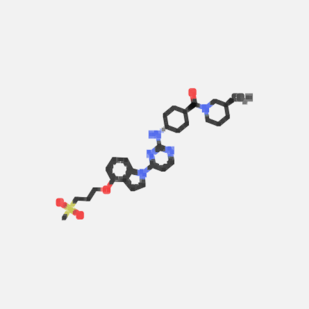 CS(=O)(=O)CCCOc1cccc2c1ccn2-c1ccnc(N[C@H]2CC[C@H](C(=O)N3CCC[C@H](C(=O)O)C3)CC2)n1